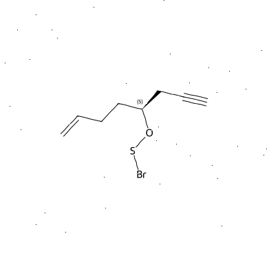 C#CC[C@H](CCC=C)OSBr